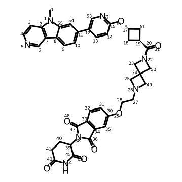 Cn1c2ccncc2c2ccc(-c3ccc(O[C@H]4C[C@H](C(=O)N5CC6(CN(CCOc7ccc8c(c7)C(=O)N(C7CCC(=O)NC7=O)C8=O)C6)C5)C4)nc3)cc21